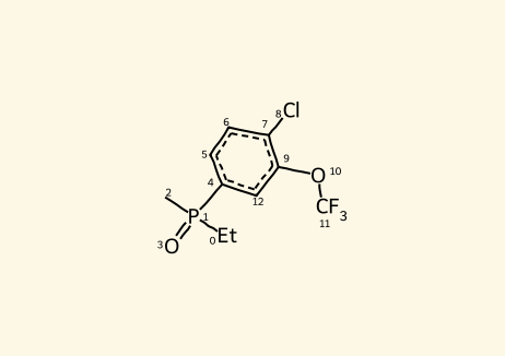 CCP(C)(=O)c1ccc(Cl)c(OC(F)(F)F)c1